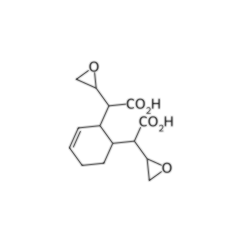 O=C(O)C(C1CO1)C1C=CCCC1C(C(=O)O)C1CO1